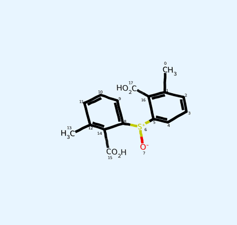 Cc1cccc([S+]([O-])c2cccc(C)c2C(=O)O)c1C(=O)O